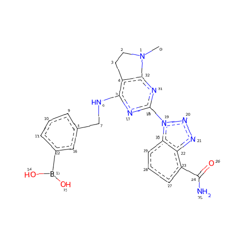 CN1CCc2c(NCc3cccc(B(O)O)c3)nc(-n3nnc4c(C(N)=O)cccc43)nc21